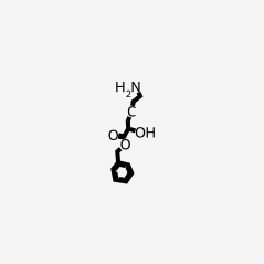 NCCCCC(O)C(=O)OCc1ccccc1